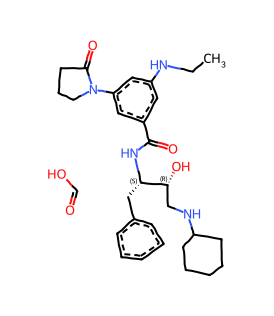 CCNc1cc(C(=O)N[C@@H](Cc2ccccc2)[C@H](O)CNC2CCCCC2)cc(N2CCCC2=O)c1.O=CO